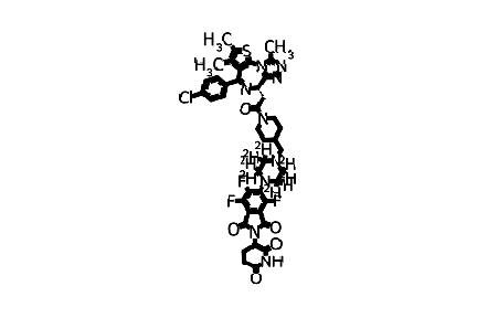 [2H]C1([2H])N(CC2CCN(C(=O)C[C@@H]3N=C(c4ccc(Cl)cc4)c4c(sc(C)c4C)-n4c(C)nnc43)CC2)C([2H])([2H])C([2H])([2H])N(c2c(F)c(F)c3c(c2F)C(=O)N(C2CCC(=O)NC2=O)C3=O)C1([2H])[2H]